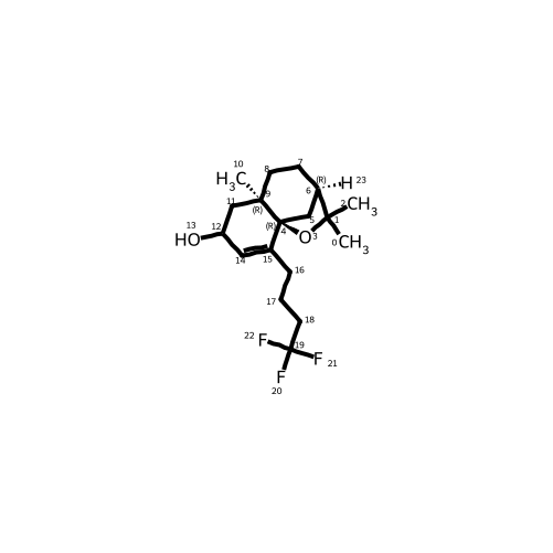 CC1(C)O[C@]23C[C@H]1CC[C@]2(C)CC(O)C=C3CCCC(F)(F)F